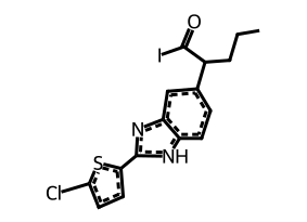 CCCC(C(=O)I)c1ccc2[nH]c(-c3ccc(Cl)s3)nc2c1